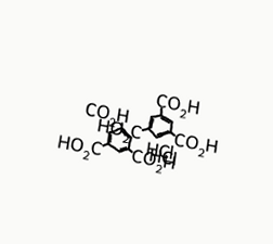 Cl.Cl.O=C(O)c1cc(C(=O)O)cc(C(=O)O)c1.O=C(O)c1cc(C(=O)O)cc(C(=O)O)c1